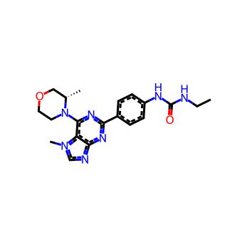 CCNC(=O)Nc1ccc(-c2nc(N3CCOC[C@@H]3C)c3c(ncn3C)n2)cc1